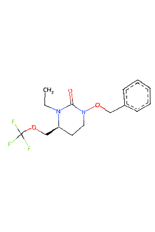 CCN1C(=O)N(OCc2ccccc2)CC[C@H]1COC(F)(F)F